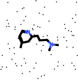 CC1=CC=NC(CCCN(C)C)C1